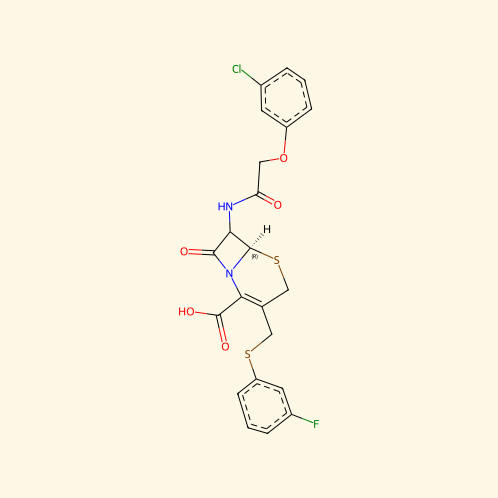 O=C(COc1cccc(Cl)c1)NC1C(=O)N2C(C(=O)O)=C(CSc3cccc(F)c3)CS[C@H]12